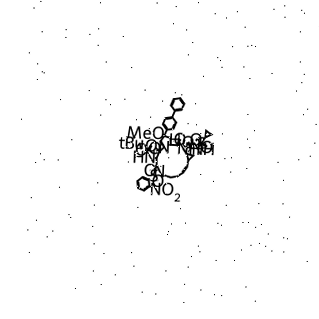 CO[C@@]1(c2ccc(-c3ccccc3)cc2)C[C@H]2C(=O)N[C@]3(C(=O)NS(=O)(=O)C4CC4)CC3/C=C\CCCN(S(=O)(=O)c3ccccc3[N+](=O)[O-])CC(NC(=O)OC(C)(C)C)C(=O)N2C1